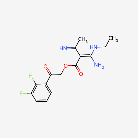 CCN/C(N)=C(\C(C)=N)C(=O)OCC(=O)c1cccc(F)c1F